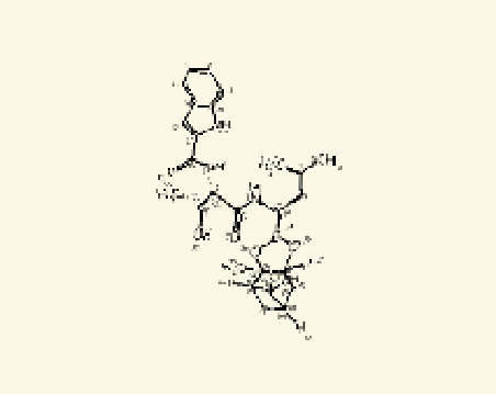 CC(C)C[C@H](NC(=O)[C@@H](NC(=O)c1cc2ccccc2[nH]1)[C@@H](C)O)B1O[C@@H]2C[C@@H]3C[C@@H](C3(C)C)[C@]2(C)O1